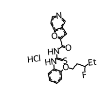 CCC(F)CCOc1ccccc1NC(=S)NC(=O)c1cc2cnccc2o1.Cl